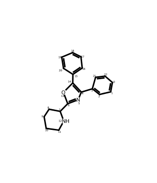 c1ccc(-c2nc(C3CCCCN3)oc2-c2ccccc2)cc1